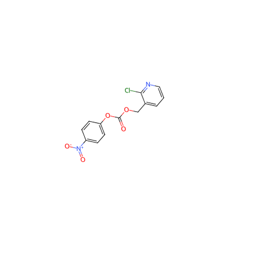 O=C(OCc1cccnc1Cl)Oc1ccc([N+](=O)[O-])cc1